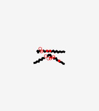 C=C(C)C(=O)OCCCCCCCCCCCCCC.CCCCCCCCOC(=O)/C=C\C(=O)OCCCCCCCC